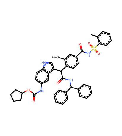 COc1cc(C(=O)NS(=O)(=O)c2ccccc2C)ccc1C(C(=O)NC(c1ccccc1)c1ccccc1)c1c[nH]c2ccc(NC(=O)OC3CCCC3)cc12